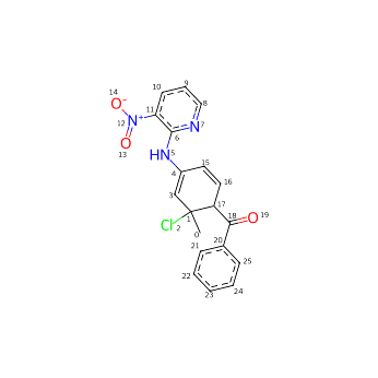 CC1(Cl)C=C(Nc2ncccc2[N+](=O)[O-])C=CC1C(=O)c1ccccc1